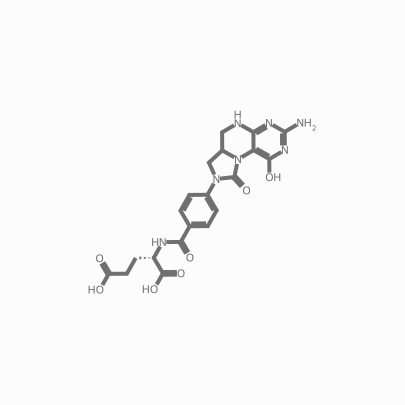 Nc1nc(O)c2c(n1)NCC1CN(c3ccc(C(=O)N[C@@H](CCC(=O)O)C(=O)O)cc3)C(=O)N21